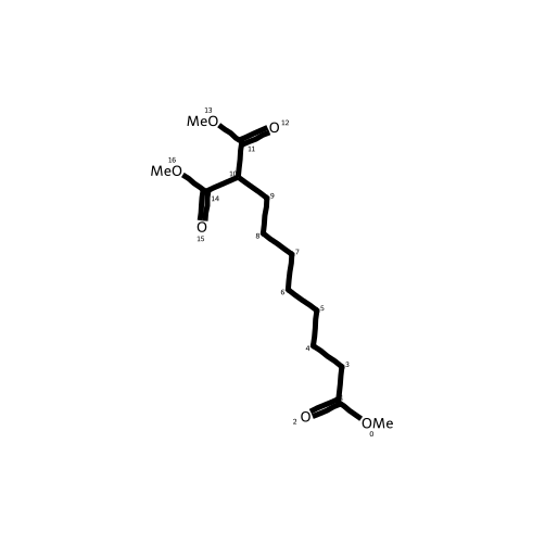 COC(=O)CCCCCCCC(C(=O)OC)C(=O)OC